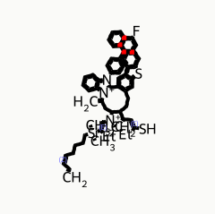 C=C/C=C\CCCC[Si](C)(C)/C(=C/[N+](=C)C1CC(=C)[n+]2c(n(-c3ccc(-c4ccc(F)cc4)cc3)c3ccccc32)-c2cc3c(cc2CCC1C(=C)/C=C(/S)CC)sc1ccc(-c2ccccc2)cc13)CC